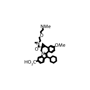 CNCCOCCN(C)C(=O)[C@]12CC1c1cc(OC)ccc1-c1c(C3CCCCC3)c3ccc(C(=O)O)cc3n1C2